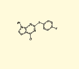 CC(C)n1ccc2c(Cl)nc(Sc3ccc(F)cc3)nc21